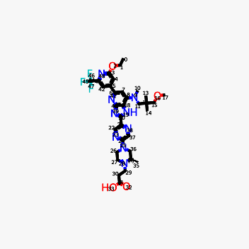 CCOc1cc(-c2cc(N(C)CC(C)(C)COC)c3[nH]c(-c4cnc(N5CCN(CCC(=O)O)[C@H](C)C5)cn4)nc3n2)cc(C(F)(F)F)n1